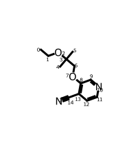 CCOC(C)(C)COc1cnccc1C#N